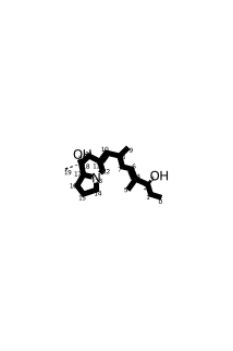 CC[C@H](O)/C(C)=C/CC(C)/C=C1\CN2CCCC2[C@@](C)(O)C1